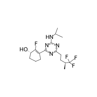 CC(C)Nc1nc(CC[C@H](C)C(F)(F)F)nc(C2=C(F)[C@@H](O)CCC2)n1